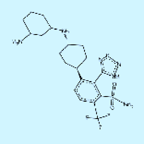 NC1CCCC(N[C@H]2CC[C@H](c3ccc(C(F)(F)F)c(S(N)(=O)=O)c3-c3nnn[nH]3)CC2)C1